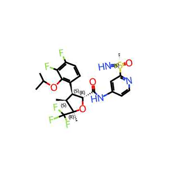 CC(C)Oc1c([C@H]2[C@H](C(=O)Nc3ccnc([S@@](C)(=N)=O)c3)O[C@@](C)(C(F)(F)F)[C@H]2C)ccc(F)c1F